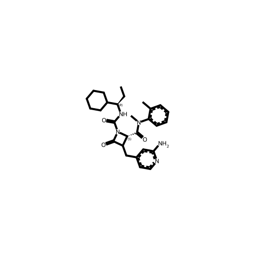 CC[C@@H](NC(=O)N1C(=O)C(Cc2ccnc(N)c2)[C@H]1C(=O)N(C)c1ccccc1C)C1CCCCC1